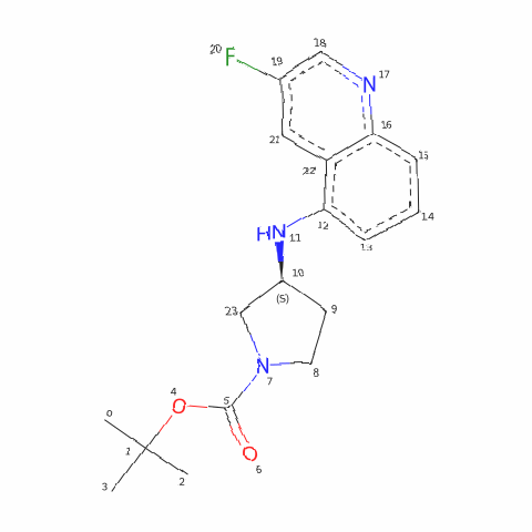 CC(C)(C)OC(=O)N1CC[C@H](Nc2cccc3ncc(F)cc23)C1